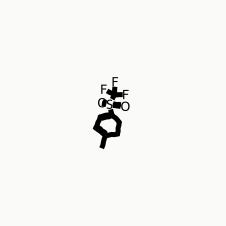 CC1=CC=C(S(=O)(=O)C(F)(F)F)CC1